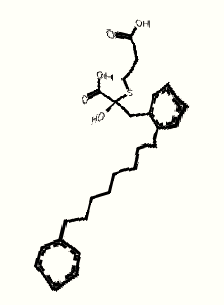 O=C(O)CCS[C@](O)(Cc1ccccc1CCCCCCCCc1ccccc1)C(=O)O